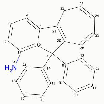 Nc1cccc2c1C(c1ccccc1)(c1ccccc1)C1=C2CC=CC=C1